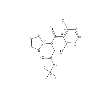 CC(C)(C)OC(=O)CC(C(=O)c1c(Cl)cccc1Cl)C1CCCC1